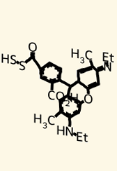 CC/N=C1/C=C2Oc3cc(NCC)c(C)cc3C(c3ccc(C(=O)SS)cc3C(=O)O)C2C=C1C